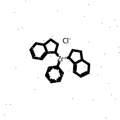 C1=CCC2CC[CH]([Zr+]([c]3ccccc3)[CH]3CCC4CC=CC=C43)C2=C1.[Cl-]